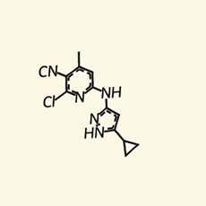 [C-]#[N+]c1c(C)cc(Nc2cc(C3CC3)[nH]n2)nc1Cl